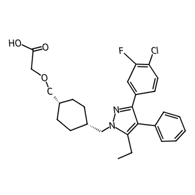 CCc1c(-c2ccccc2)c(-c2ccc(Cl)c(F)c2)nn1C[C@H]1CC[C@@H](COCC(=O)O)CC1